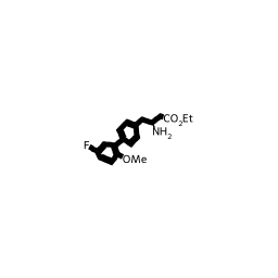 CCOC(=O)C[C@H](N)Cc1ccc(-c2cc(F)ccc2OC)cc1